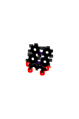 O=C([O-])CCCC(=O)[O-].c1ccc([I+]c2ccccc2)cc1.c1ccc([I+]c2ccccc2)cc1